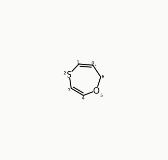 [C]1=CSC=COC1